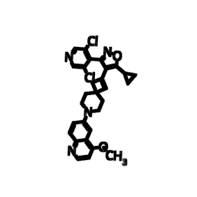 COc1ccnc2ccc(N3CCC4(C=C(c5c(-c6c(Cl)cncc6Cl)noc5C5CC5)C4)CC3)cc12